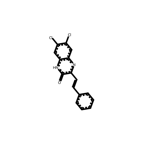 O=c1[nH]c2cc(Cl)c(Cl)cc2nc1C=Cc1ccccc1